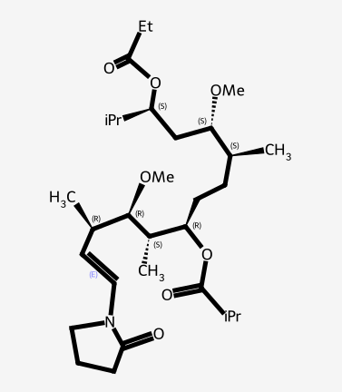 CCC(=O)O[C@@H](C[C@H](OC)[C@@H](C)CC[C@@H](OC(=O)C(C)C)[C@H](C)[C@H](OC)[C@H](C)/C=C/N1CCCC1=O)C(C)C